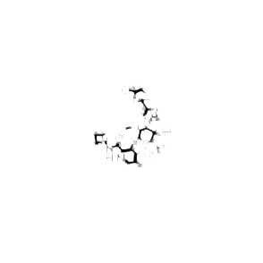 CO[C@@H]1[C@@H](n2cc(-c3nc(Cl)cs3)nn2)[C@@H](O)[C@@H](CO)O[C@@H]1Sc1cc(Cl)cnc1C(=O)NN1CCC1